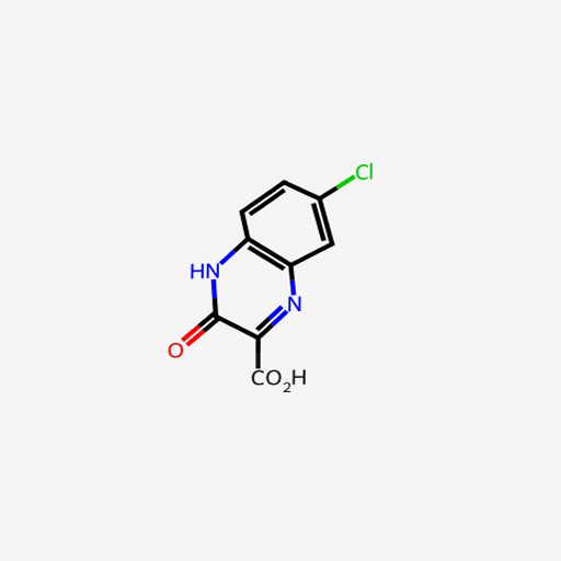 O=C(O)c1nc2cc(Cl)ccc2[nH]c1=O